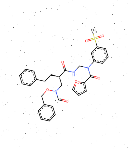 CS(=O)(=O)c1cccc(N(CNC(=O)[C@H](CCc2ccccc2)CN(C=O)OCc2ccccc2)C(=O)c2ccco2)c1